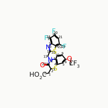 O=C(O)CC1Sc2cc(OC(F)(F)F)ccc2N(Cc2nc3c(F)c(F)cc(F)c3s2)C1=O